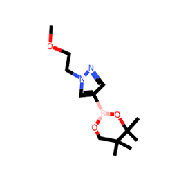 COCCn1cc(B2OCC(C)(C)C(C)(C)O2)cn1